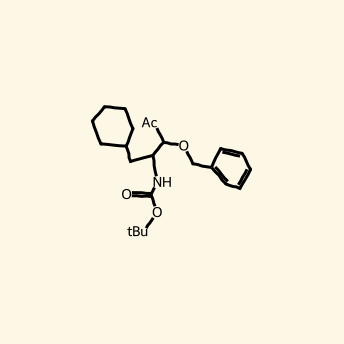 CC(=O)C(OCc1ccccc1)C(CC1CCCCC1)NC(=O)OC(C)(C)C